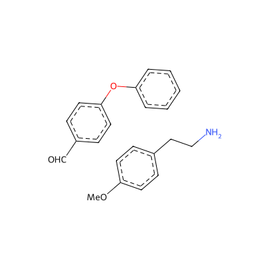 COc1ccc(CCN)cc1.O=Cc1ccc(Oc2ccccc2)cc1